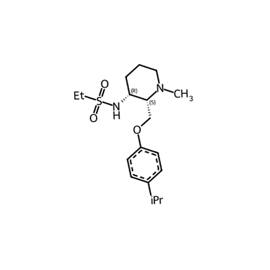 CCS(=O)(=O)N[C@@H]1CCCN(C)[C@@H]1COc1ccc(C(C)C)cc1